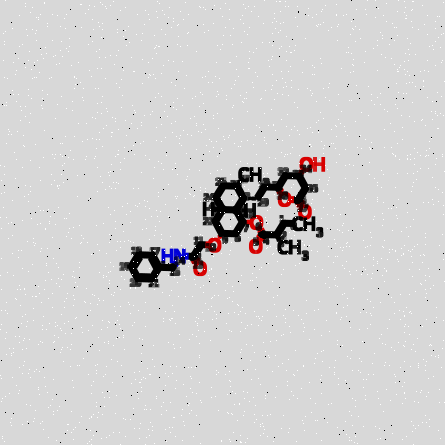 CC[C@@H](C)C(=O)O[C@H]1C[C@H](OCC(=O)NCc2ccccc2)C[C@@H]2CC[C@H](C)[C@H](CCC3C[C@@H](O)CC(=O)O3)[C@H]21